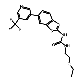 CCOCCNC(=O)Nc1nc2ccc(-c3cncc(C(F)(F)F)c3)cc2s1